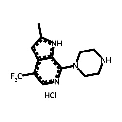 Cc1cc2c(C(F)(F)F)cnc(N3CCNCC3)c2[nH]1.Cl